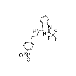 O=[N+]([O-])c1ccc(CCNc2nc(C(F)(F)F)nc3ccccc23)cc1